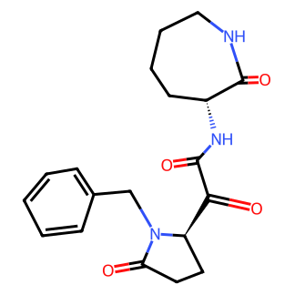 O=C(N[C@@H]1CCCCNC1=O)C(=O)[C@H]1CCC(=O)N1Cc1ccccc1